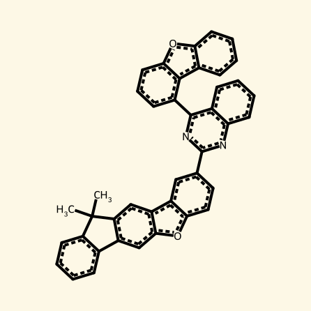 CC1(C)c2ccccc2-c2cc3oc4ccc(-c5nc(-c6cccc7oc8ccccc8c67)c6ccccc6n5)cc4c3cc21